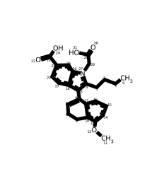 CCCCc1c(C2=CCCc3c(OC)cccc32)c2ccc(C(=O)O)cc2n1CC(=O)O